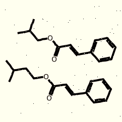 CC(C)CCOC(=O)C=Cc1ccccc1.CC(C)COC(=O)C=Cc1ccccc1